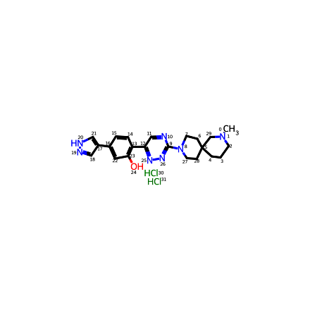 CN1CCCC2(CCN(c3ncc(-c4ccc(-c5cn[nH]c5)cc4O)nn3)CC2)C1.Cl.Cl